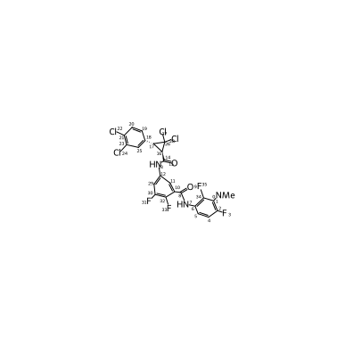 CNc1c(F)ccc(NC(=O)c2cc(NC(=O)[C@H]3[C@H](c4ccc(Cl)c(Cl)c4)C3(Cl)Cl)cc(F)c2F)c1F